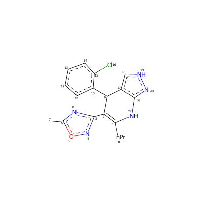 CCCC1=C(c2noc(C)n2)C(c2ccccc2Cl)c2c[nH]nc2N1